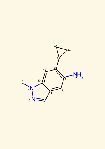 Cn1ncc2cc(N)c(C3CC3)cc21